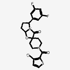 O=C(c1sccc1Cl)N1CCC2(CC1)OC1CCC(c3cc(F)cc(F)c3)N1C2=O